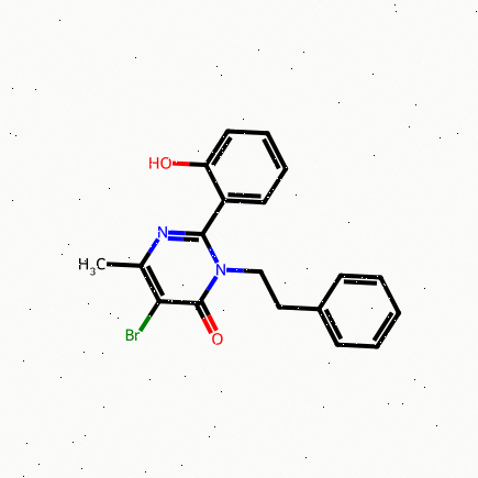 Cc1nc(-c2ccccc2O)n(CCc2ccccc2)c(=O)c1Br